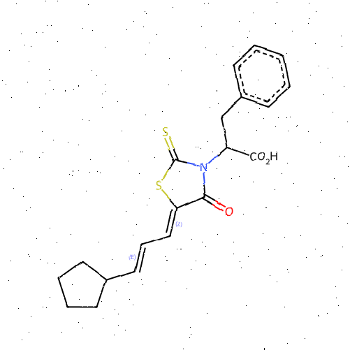 O=C(O)C(Cc1ccccc1)N1C(=O)/C(=C/C=C/C2CCCC2)SC1=S